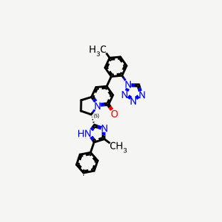 Cc1ccc(-n2cnnn2)c(-c2cc3n(c(=O)c2)[C@H](c2nc(C)c(-c4cc[c]cc4)[nH]2)CC3)c1